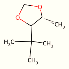 C[C@H]1OCOC1C(C)(C)C